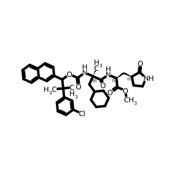 COC(=O)[C@H](C[C@@H]1CCNC1=O)NC(=O)[C@@](C)(CC1CCCCC1)NC(=O)OC(c1ccc2ccccc2c1)C(C)(C)c1cccc(Cl)c1